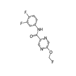 O=C(Nc1ccc(F)c(F)c1)c1cnc(OCF)cn1